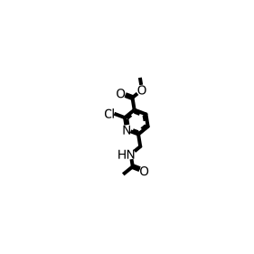 COC(=O)c1ccc(CNC(C)=O)nc1Cl